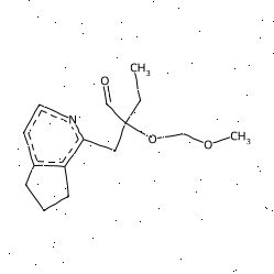 CCC(C=O)(Cc1nccc2c1CCC2)OCOC